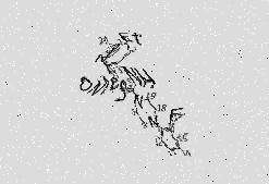 CCc1cc(NC(=S)N2CCN(c3ccccc3F)CC2)c(OC)nc1C